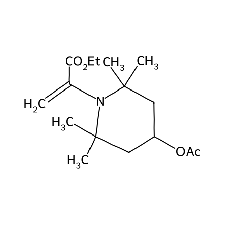 C=C(C(=O)OCC)N1C(C)(C)CC(OC(C)=O)CC1(C)C